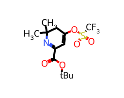 CC1(C)CC(OS(=O)(=O)C(F)(F)F)=CC(C(=O)OC(C)(C)C)=N1